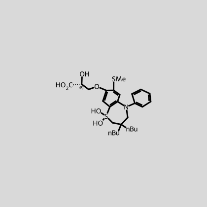 CCCCC1(CCCC)CN(c2ccccc2)c2cc(SC)c(OC[C@@H](O)C(=O)O)cc2S(O)(O)C1